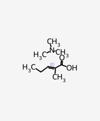 CC/C=C(\C)C(=O)O.CN(C)C